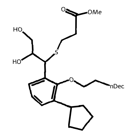 CCCCCCCCCCCCOc1c(C2CCCC2)cccc1C(SCCC(=O)OC)C(O)CO